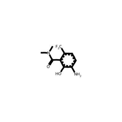 CN(C)C(=O)c1c(C(F)(F)F)ccc(N)c1O